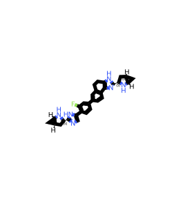 Fc1cc(-c2ccc3c(c2)CCc2[nH]c([C@@H]4C[C@H]5C[C@H]5N4)nc2-3)ccc1-c1cnc([C@@H]2C[C@H]3C[C@H]3N2)[nH]1